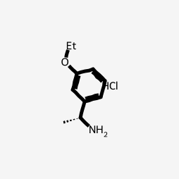 CCOc1cccc([C@@H](C)N)c1.Cl